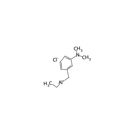 C[CH2][Al+][CH2]c1cccc(N(C)C)c1.[Cl-]